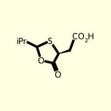 CC(C)C1OC(=O)[C@H](CC(=O)O)S1